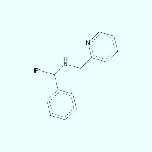 CC(C)C(NCc1ccccn1)c1ccccc1